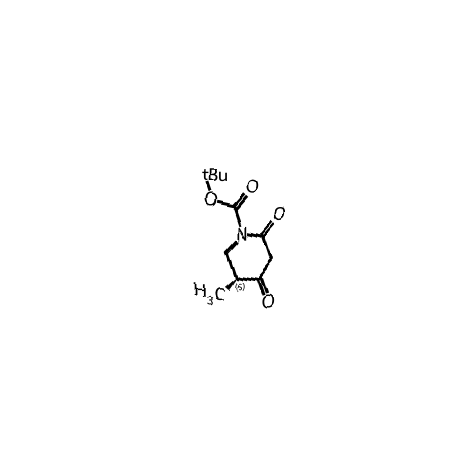 C[C@H]1CN(C(=O)OC(C)(C)C)C(=O)CC1=O